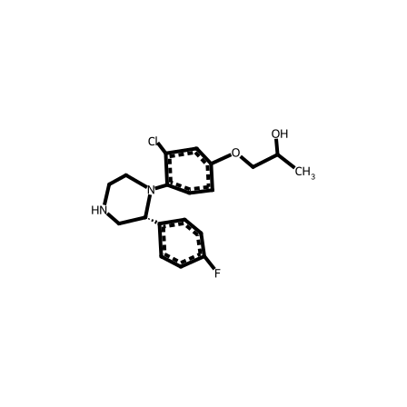 CC(O)COc1ccc(N2CCNC[C@H]2c2ccc(F)cc2)c(Cl)c1